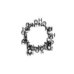 O=C1CNC(=O)CNC(=O)CNC(=O)CC(C(=O)N2CCCC2)NC(=O)C2CCCN2C(=O)C(Cc2cccnc2)NC(=O)CNC(=O)CNC(=O)CNC(=O)CN1